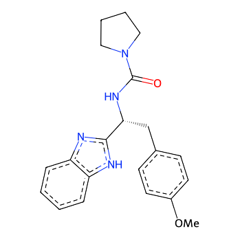 COc1ccc(C[C@@H](NC(=O)N2CCCC2)c2nc3ccccc3[nH]2)cc1